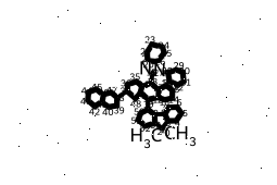 CC1(C)c2ccccc2-c2c(-c3c4ccccc4c(-c4nc5ccccc5n4-c4ccccc4)c4ccc(-c5ccc6ccccc6c5)cc34)cccc21